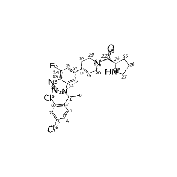 CC(c1ccc(Cl)cc1Cl)n1nnc2c(F)cc(C3=CCN(C(=O)[C@H]4CCCN4)CC3)cc21